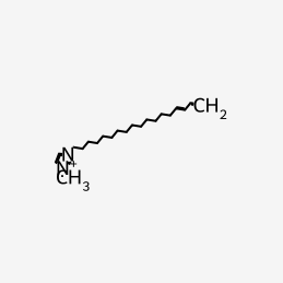 C=CC=CCCCCCCCCCCCCCCn1cc[n+](C)c1